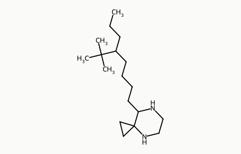 CCCC(CCCCC1NCCNC12CC2)C(C)(C)C